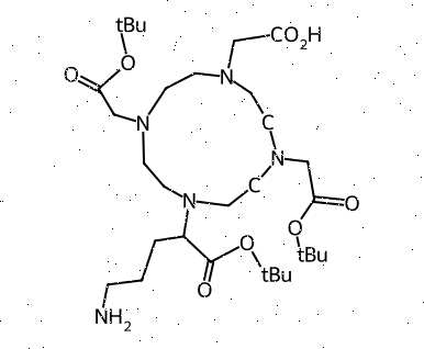 CC(C)(C)OC(=O)CN1CCN(CC(=O)O)CCN(CC(=O)OC(C)(C)C)CCN(C(CCCN)C(=O)OC(C)(C)C)CC1